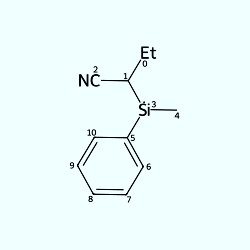 CCC(C#N)[Si](C)c1ccccc1